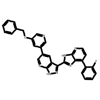 Fc1ccccc1-c1ccnc2[nH]c(-c3n[nH]c4ncc(-c5cncc(OCc6ccccc6)c5)cc34)nc12